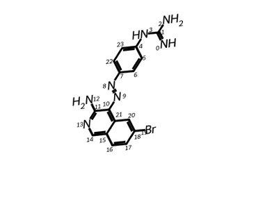 N=C(N)Nc1ccc(/N=N/c2c(N)ncc3ccc(Br)cc23)cc1